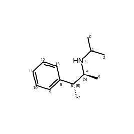 CC(C)N[C@@H](C)[C@H](C)c1ccccc1